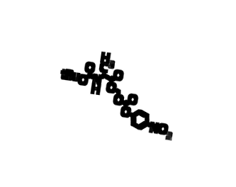 C[C@H](NC(=O)OC(C)(C)C)C(=O)OCOC(=O)Oc1ccc([N+](=O)[O-])cc1